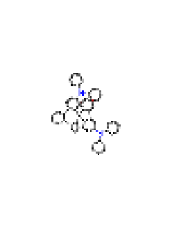 c1ccc(N(c2ccccc2)c2ccc3c(c2)-c2ccccc2C32c3ccccc3-c3ccccc3-c3ccc(N(c4ccccc4)c4ccccc4)cc32)cc1